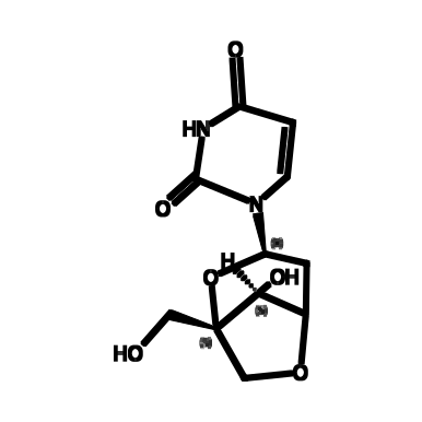 O=c1ccn([C@H]2CC3OC[C@](CO)(O2)[C@H]3O)c(=O)[nH]1